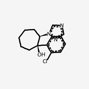 O[C@@]1(c2ccccc2Cl)CCCCC[C@H]1n1cncn1